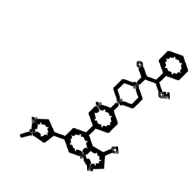 Cn1cc(-c2cc(-c3ccc(N4CCN(C(=O)C(O)c5ccccc5)CC4)nc3)c3c(Cl)cnn3c2)cn1